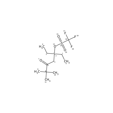 CCS(CC)(CC(=O)C(C)(C)C)OS(=O)(=O)C(F)(F)F